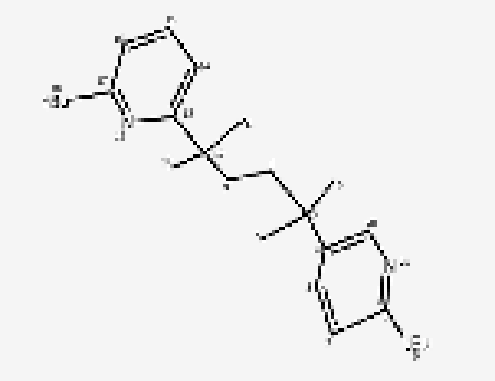 CC(C)(C)c1ccc(C(C)(C)CCC(C)(C)c2cccc(C(C)(C)C)n2)cn1